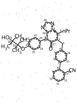 CCCc1c(Cc2ccc(-c3ccccc3C#N)cc2)c(=O)n(-c2ccc(OC(C)(C)C(C)(C)O)cc2)c2ncnn12